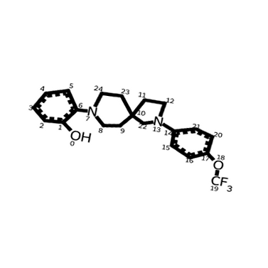 Oc1ccccc1N1CCC2(CCN(c3ccc(OC(F)(F)F)cc3)C2)CC1